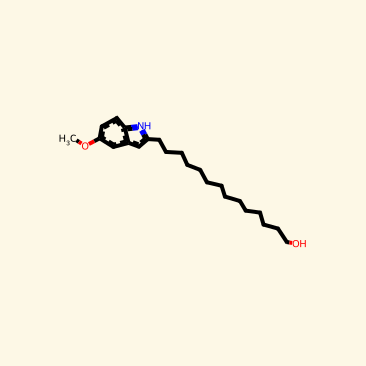 COc1ccc2[nH]c(CCCCCCCCCCCCCCO)cc2c1